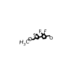 COCc1cc(-c2ccc(C=O)c(F)c2F)cs1